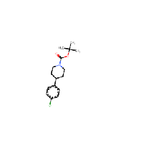 CC(C)(C)OC(=O)N1CCC(c2ccc(Cl)cc2)CC1